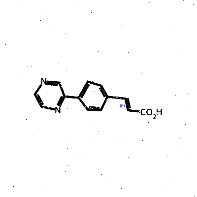 O=C(O)/C=C/c1ccc(-c2cnccn2)cc1